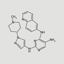 CN1CCC(n2cc(Nc3ncc(N)c(Nc4ccc5ncccc5c4)n3)cn2)CC1